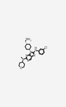 CN(c1ncc2nc(Nc3cccc(Cl)c3)n([C@H]3CC[C@@H](CN)CC3)c2n1)C1CCOCC1